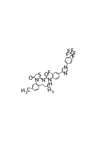 CCCc1ccc(C)cc1N1C(=O)CSC1=NC(=O)Nc1ccc(-c2cn(-c3ccc(S(F)(F)(F)(F)F)cc3)cn2)cc1F